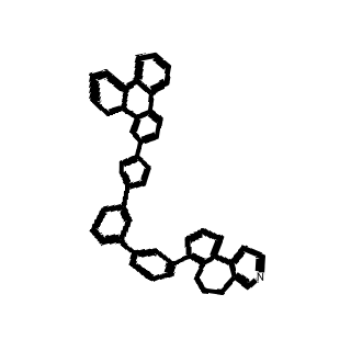 c1cc(-c2ccc(-c3ccc4c5ccccc5c5ccccc5c4c3)cc2)cc(-c2cccc(-c3cccc4c3CCCc3cnccc3-4)c2)c1